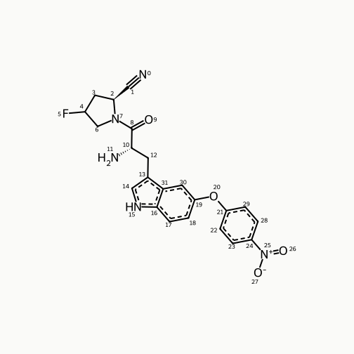 N#C[C@@H]1CC(F)CN1C(=O)[C@@H](N)Cc1c[nH]c2ccc(Oc3ccc([N+](=O)[O-])cc3)cc12